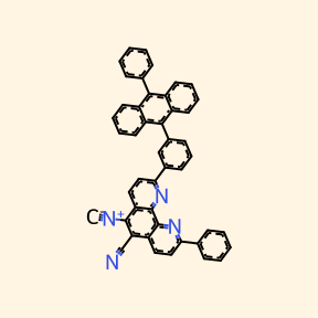 [C-]#[N+]c1c(C#N)c2ccc(-c3ccccc3)nc2c2nc(-c3cccc(-c4c5ccccc5c(-c5ccccc5)c5ccccc45)c3)ccc12